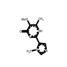 COc1c(C)[nH]c(-c2cncn2C)nc1=O